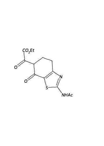 CCOC(=O)C(=O)C1CCc2nc(NC(C)=O)sc2C1=O